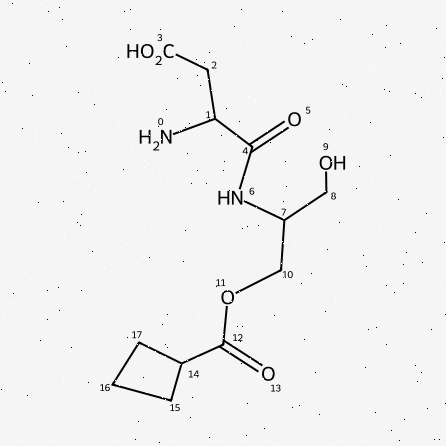 NC(CC(=O)O)C(=O)NC(CO)COC(=O)C1CCC1